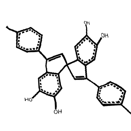 Cc1ccc(C2=CC3(C=C(c4ccc(C)cc4)c4cc(O)c(O)cc43)c3cc(O)c(O)cc32)cc1